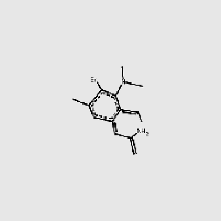 C=C(N)/C=c1/cc(C)c(Br)c(N(C)C)/c1=C/C